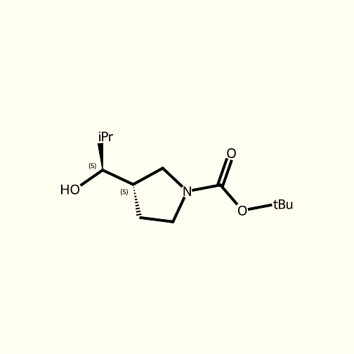 CC(C)[C@H](O)[C@H]1CCN(C(=O)OC(C)(C)C)C1